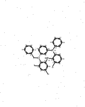 Cc1cc(C)c(OCc2ccccc2)c(Pc2c(C)cccc2P(c2ccccc2)c2ccccc2)c1